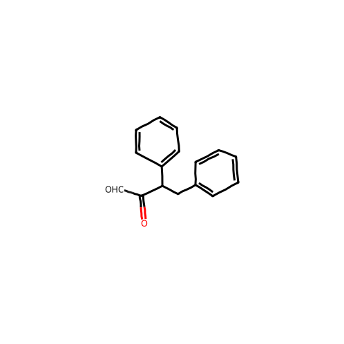 O=CC(=O)C(Cc1ccccc1)c1ccccc1